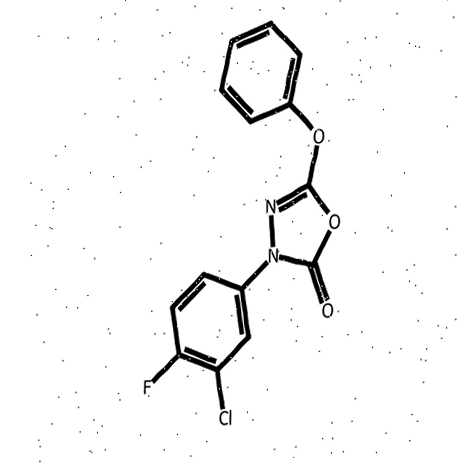 O=c1oc(Oc2ccccc2)nn1-c1ccc(F)c(Cl)c1